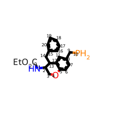 CCOC(=O)NC1COc2ccc(CP)cc2C1Cc1ccccc1